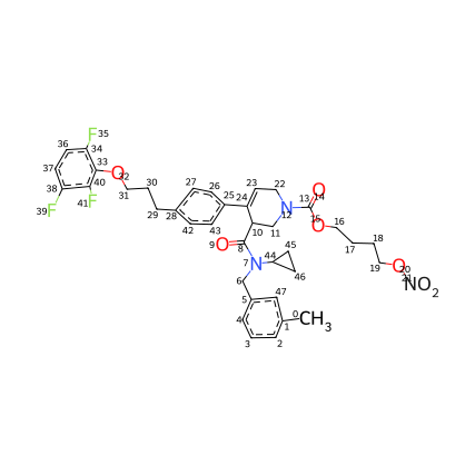 Cc1cccc(CN(C(=O)C2CN(C(=O)OCCCCO[N+](=O)[O-])CC=C2c2ccc(CCCOc3c(F)ccc(F)c3F)cc2)C2CC2)c1